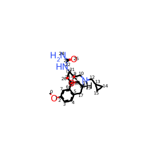 COc1ccc2c(c1)[C@]13CCN(CC4CC4)[C@H](C2)[C@]12CC[C@@](NC(N)=O)(CO2)C3